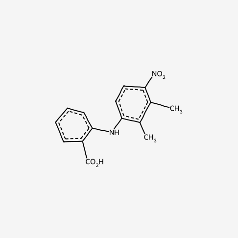 Cc1c(Nc2ccccc2C(=O)O)ccc([N+](=O)[O-])c1C